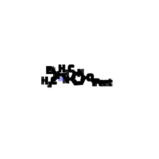 CCCC(C)Oc1ccc(/N=C/N(C)CC)c(C)n1